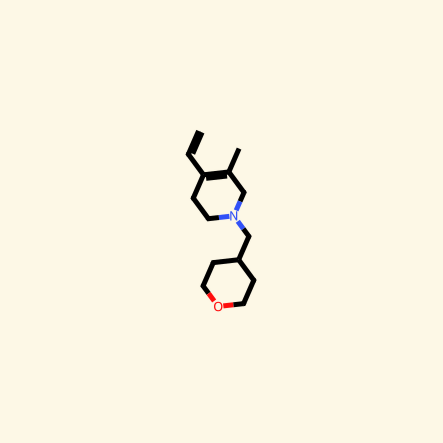 C=CC1=C(C)CN(CC2CCOCC2)CC1